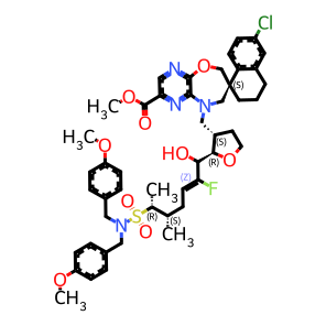 COC(=O)c1cnc2c(n1)N(C[C@@H]1CCO[C@H]1C(O)/C(F)=C/C[C@H](C)[C@@H](C)S(=O)(=O)N(Cc1ccc(OC)cc1)Cc1ccc(OC)cc1)C[C@@]1(CCCc3cc(Cl)ccc31)CO2